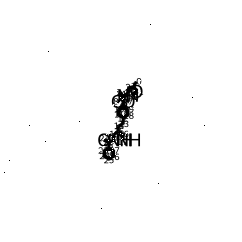 Cc1cc(N(C)S(=O)(=O)c2ccc(CCC(C=N)CNC(=O)c3ccccc3)cc2)no1